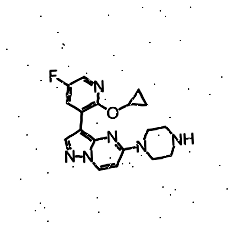 Fc1cnc(OC2CC2)c(-c2cnn3ccc(N4CCNCC4)nc23)c1